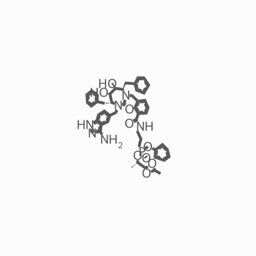 CC1OC([C@H](C)OP(=O)(CCCNC(=O)c2cccc(CN3C(=O)N(Cc4ccc5[nH]nc(N)c5c4)[C@H](Cc4ccccc4)[C@H](O)[C@@H](O)[C@H]3Cc3ccccc3)c2)Oc2ccccc2)O1